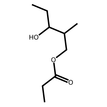 CCC(=O)OCC(C)C(O)CC